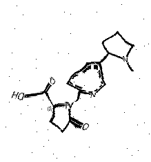 CN1CCCC1c1ccc(N2C(=O)CC[C@H]2C(=O)O)nc1